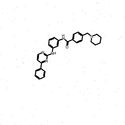 O=C(Nc1cccc(Nc2nccc(-c3ccccc3)n2)c1)c1ccc(CN2CCCCC2)cc1